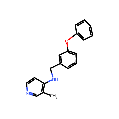 Cc1cnccc1NCc1cccc(Oc2ccccc2)c1